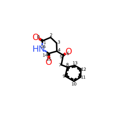 O=C1CCC(C(=O)Cc2ccccc2)C(=O)N1